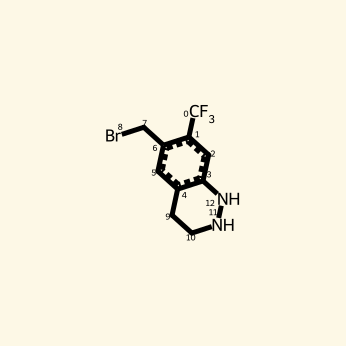 FC(F)(F)c1cc2c(cc1CBr)CCNN2